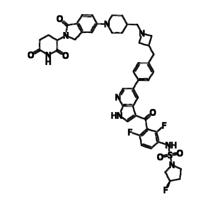 O=C1CCC(N2Cc3cc(N4CCC(CN5CC(Cc6ccc(-c7cnc8[nH]cc(C(=O)c9c(F)ccc(NS(=O)(=O)N%10CC[C@@H](F)C%10)c9F)c8c7)cc6)C5)CC4)ccc3C2=O)C(=O)N1